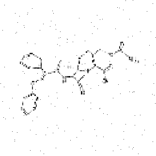 NC(=O)OCC1=C(C(=O)O)N2C(=O)[C@@H](NC(=O)C(=NOc3ccccc3)c3ccccc3)[C@H]2SC1